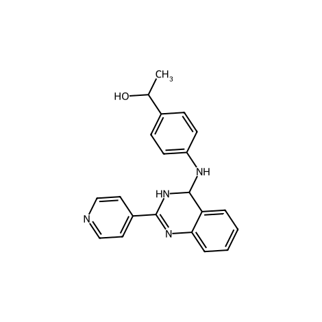 CC(O)c1ccc(NC2NC(c3ccncc3)=Nc3ccccc32)cc1